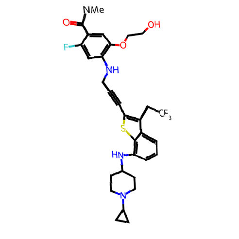 CNC(=O)c1cc(OCCO)c(NCC#Cc2sc3c(NC4CCN(C5CC5)CC4)cccc3c2CC(F)(F)F)cc1F